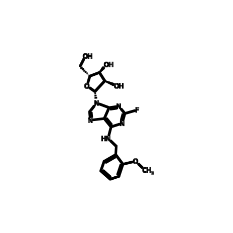 COc1ccccc1CNc1nc(F)nc2c1ncn2[C@@H]1O[C@H](CO)[C@@H](O)[C@H]1O